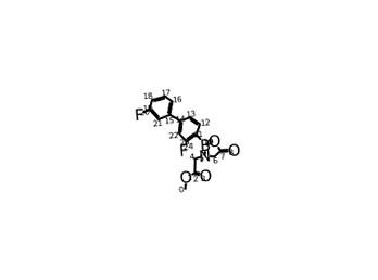 COC(=O)CN1CC(=O)OB1c1ccc(-c2cccc(F)c2)cc1F